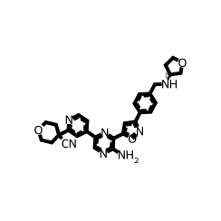 N#CC1(c2cc(-c3cnc(N)c(-c4cc(-c5ccc(CN[C@H]6CCOC6)cc5)no4)n3)ccn2)CCOCC1